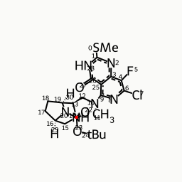 CSc1nc2c(F)c(Cl)nc(N(C)C[C@H]3NC[C@H]4CC[C@@H]3N4C(=O)OC(C)(C)C)c2c(=O)[nH]1